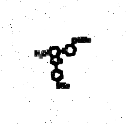 CSOC1CCCN(C2=C3OC(c4ccc(SC)cc4)=CC3N(C)C=C2)C1